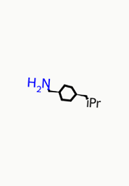 CC(C)C[C@H]1CC[C@@H](CN)CC1